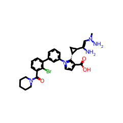 CN(N)/C=C(\N)C1C[C@H]1c1c(C(=O)O)ccn1-c1cccc(-c2cccc(C(=O)N3CCCCC3)c2Br)c1